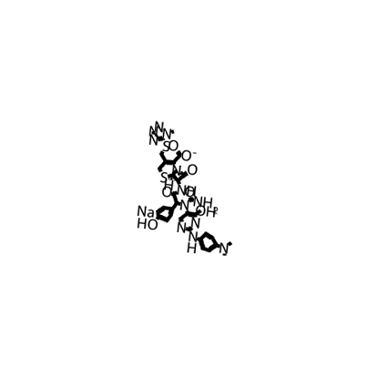 CN(C)c1ccc(Nc2ncc(N(C(N)=O)C(C(=O)NC3C(=O)N4C(C(=O)[O-])=C(CSc5nnnn5C)CS[C@@H]34)c3ccc(O)cc3)c(O)n2)cc1.[Na+]